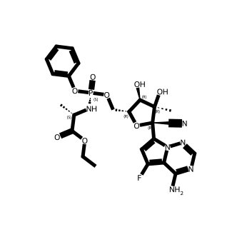 CCOC(=O)[C@H](C)N[P@](=O)(OC[C@H]1O[C@@](C#N)(c2cc(F)c3c(N)ncnn23)[C@](C)(O)[C@@H]1O)Oc1ccccc1